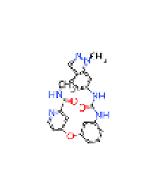 CNC(=O)c1cc(Oc2cccc(NC(=O)Nc3ccc4cnn(C)c4c3)c2)ccn1